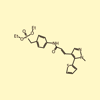 CCOP(=O)(Cc1ccc(NC(=O)/C=C/c2cnn(C)c2-c2cccs2)cc1)OCC